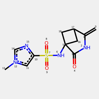 C=C1NC(=O)C2(NS(=O)(=O)c3cn(C)cn3)CC1C2